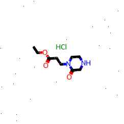 CCOC(=O)CCN1CCNCC1=O.Cl